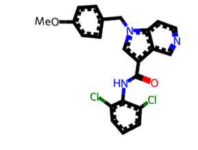 COc1ccc(Cn2cc(C(=O)Nc3c(Cl)cccc3Cl)c3cnccc32)cc1